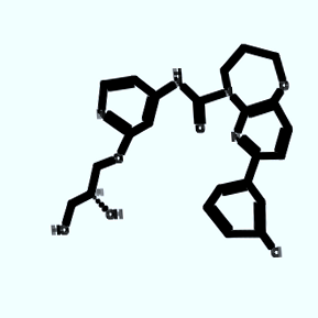 O=C(Nc1ccnc(OC[C@H](O)CO)c1)N1CCCOc2ccc(-c3cccc(Cl)c3)nc21